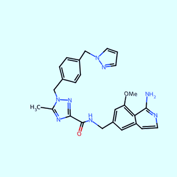 COc1cc(CNC(=O)c2nc(C)n(Cc3ccc(Cn4cccn4)cc3)n2)cc2ccnc(N)c12